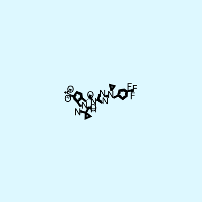 CS(=O)(=O)c1ccc2c(c1)CN(C(=O)C1(C#N)CC1)[C@H]2C(=O)Nc1cnc(N(Cc2ccc(C(F)(F)F)cc2)C2CC2)nc1